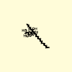 CCCCCCCCCCCCCC(=O)NC(C(=O)NC(C(=O)O)C(C)O)=C(O)CCCCC